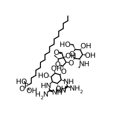 CCCCCCCCCCCCCCCCCCP(=O)(O)O.CN[C@@H]1[C@H](O[C@H]2[C@H](O[C@H]3[C@H](O)[C@@H](O)[C@H](NC(=N)N)[C@@H](O)[C@@H]3NC(=N)N)O[C@@H](C)[C@]2(O)C=O)O[C@@H](CO)[C@H](O)[C@H]1O